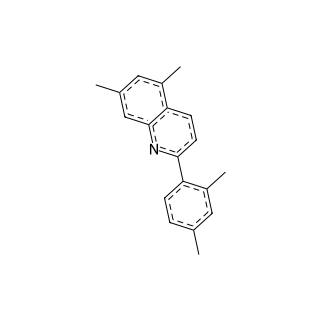 Cc1ccc(-c2ccc3c(C)cc(C)cc3n2)c(C)c1